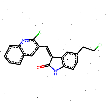 O=C1Nc2ccc(CCCl)cc2C1=Cc1cc2ccccc2nc1Cl